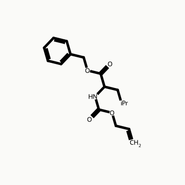 C=CCOC(=O)NC(CC(C)C)C(=O)OCc1ccccc1